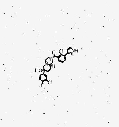 O=C(c1cccc(-c2cc[nH]n2)c1Cl)N1CCN2C[C@@](O)(c3ccc(F)c(Cl)c3)CC[C@@H]2C1